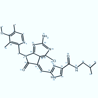 COc1c(C)cnc(CN2C(=O)/C(=C/c3nc(C(=O)NCC(C)C)c[nH]3)c3c(Cl)nc(N)nc32)c1C